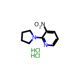 Cl.Cl.O=[N+]([O-])c1cccnc1N1CCCC1